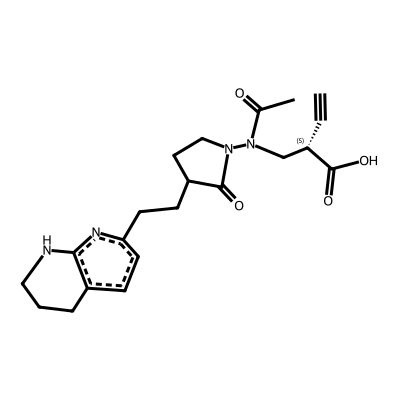 C#C[C@@H](CN(C(C)=O)N1CCC(CCc2ccc3c(n2)NCCC3)C1=O)C(=O)O